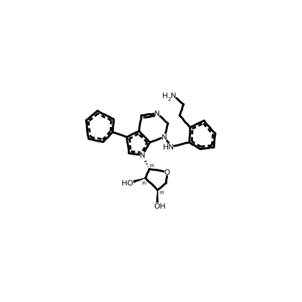 NCCc1ccccc1NN1CN=Cc2c(-c3ccccc3)cn([C@@H]3OC[C@@H](O)[C@H]3O)c21